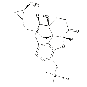 CCOC(=O)[C@@H]1C[C@H]1CN1CC[C@]23c4c5ccc(O[Si](C)(C)C(C)(C)C)c4O[C@H]2C(=O)CC[C@@]3(O)[C@H]1C5